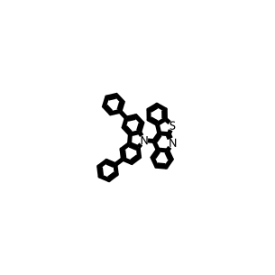 c1ccc(-c2ccc3c(c2)c2cc(-c4ccccc4)ccc2n3-c2c3ccccc3nc3sc4ccccc4c23)cc1